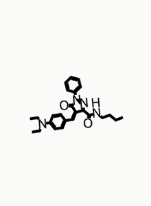 CCCCNC(=O)C1=NN(c2ccccc2)C(=O)/C1=C\c1ccc(N(CC)CC)cc1